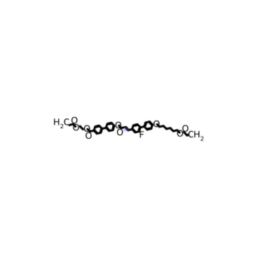 C=CC(=O)OCCCCCCOc1ccc(-c2ccc(/C=C/C(=O)Oc3ccc(-c4ccc(C(=O)OCCOC(=O)C=C)cc4)cc3)cc2F)cc1